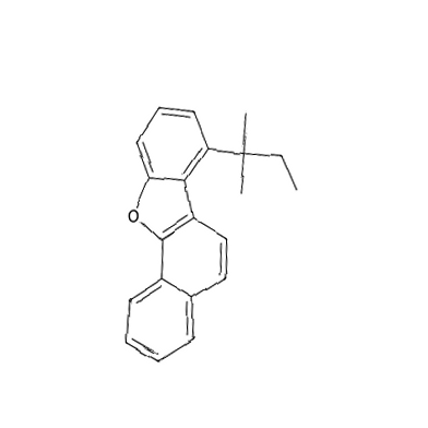 CCC(C)(C)c1cccc2oc3c4ccccc4ccc3c12